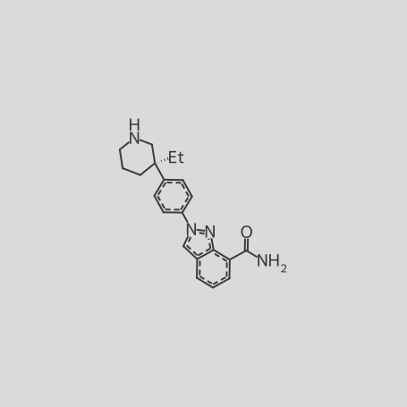 CC[C@]1(c2ccc(-n3cc4cccc(C(N)=O)c4n3)cc2)CCCNC1